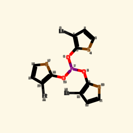 CCc1ccsc1OP(Oc1sccc1CC)Oc1sccc1CC